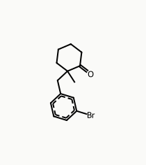 CC1(Cc2cccc(Br)c2)CCCCC1=O